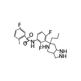 CCCC1(c2c(F)ccc(NS(=O)(=O)c3cc(F)ccc3C)c2F)CC2NNCC2CN1